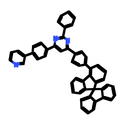 c1ccc(-c2nc(-c3ccc(-c4cccnc4)cc3)cc(-c3ccc(-c4cccc5c4-c4ccccc4C54c5ccccc5-c5ccccc54)cc3)n2)cc1